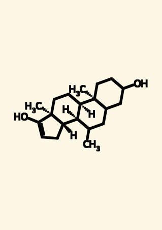 CC1CC2CC(O)CC[C@]2(C)[C@@H]2CC[C@]3(C)C(O)=CC[C@H]3[C@H]12